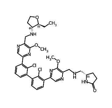 CC[C@@H]1OCC[C@H]1NCc1ncc(-c2cccc(-c3cccc(-c4cnc(CNC[C@@H]5CCC(=O)N5)c(OC)n4)c3Cl)c2Cl)nc1OC